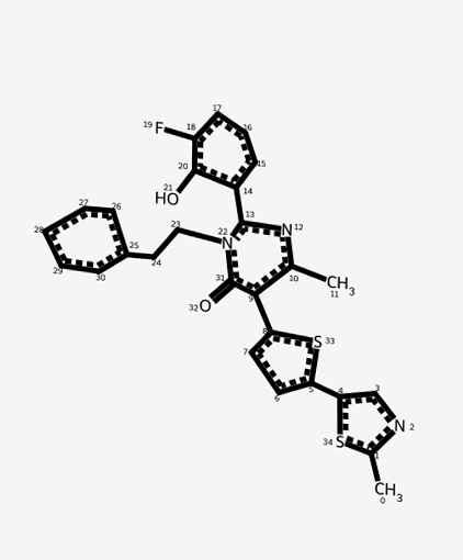 Cc1ncc(-c2ccc(-c3c(C)nc(-c4cccc(F)c4O)n(CCc4ccccc4)c3=O)s2)s1